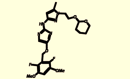 COc1cc(OC)c(F)c(COc2cnc(Nc3cc(C)n(CCOC4CCCCO4)n3)nc2)c1F